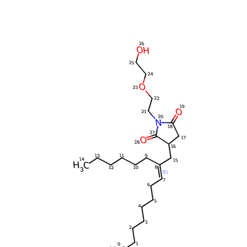 CCCCCCC/C=C(\CCCCCC)CC1CC(=O)N(CCOCCO)C1=O